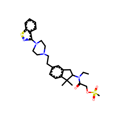 CCN(C(=O)COS(C)(=O)=O)C1Cc2cc(CCN3CCN(c4nsc5ccccc45)CC3)ccc2C1(C)C